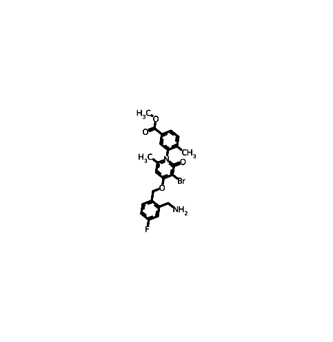 COC(=O)c1ccc(C)c(-n2c(C)cc(OCc3ccc(F)cc3CN)c(Br)c2=O)c1